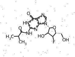 CC(C)C(=O)Nc1nc2c(ncn2[C@@H]2O[C@H](CO)C(F)C2O)c(=O)[nH]1